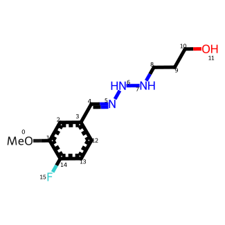 COc1cc(/C=N/NNCCCO)ccc1F